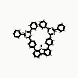 Cn1c2c(-c3ccc(-c4nc(-c5ccccc5)nc(-c5ccccc5)n4)cc3)cccc2c2cccc(-c3ccc(-c4nc(-c5ccccc5)nc(-c5ccccc5)n4)cc3)c21